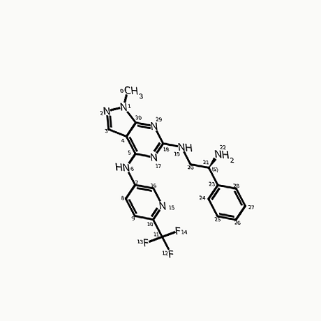 Cn1ncc2c(Nc3ccc(C(F)(F)F)nc3)nc(NC[C@@H](N)c3ccccc3)nc21